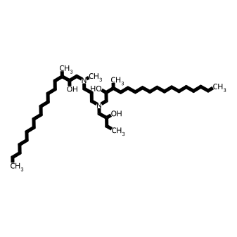 CCCCCCCCCCCCCCC(C)C(O)CN(C)CCCN(CC(O)CC)CC(O)C(C)CCCCCCCCCCCCCC